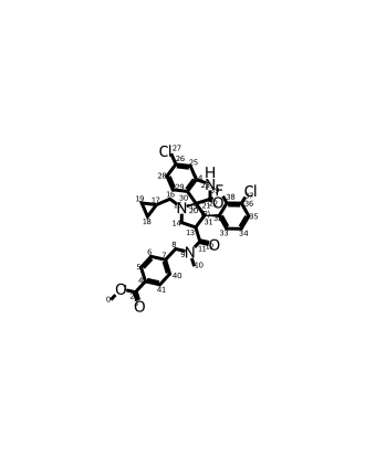 COC(=O)c1ccc(CN(C)C(=O)C2CN(CC3CC3)[C@@]3(C(=O)Nc4cc(Cl)ccc43)[C@H]2c2cccc(Cl)c2F)cc1